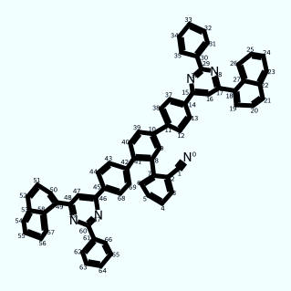 N#Cc1ccccc1-c1cc(-c2ccc(-c3cc(-c4cccc5ccccc45)nc(-c4ccccc4)n3)cc2)ccc1-c1ccc(-c2cc(-c3cccc4ccccc34)nc(-c3ccccc3)n2)cc1